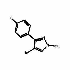 Fc1ccc(-c2nn(C(F)(F)F)cc2Br)cc1